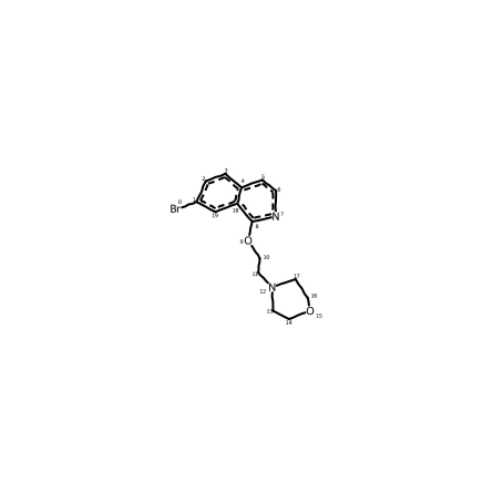 Brc1ccc2ccnc(OCCN3CCOCC3)c2c1